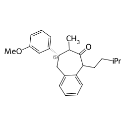 COc1cccc([C@H]2Cc3ccccc3C(CCC(C)C)C(=O)C2C)c1